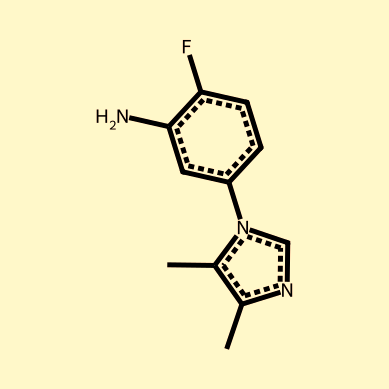 Cc1ncn(-c2ccc(F)c(N)c2)c1C